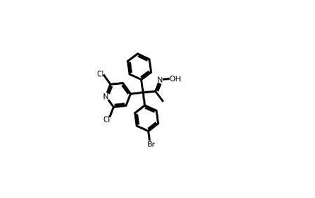 CC(=NO)C(c1ccccc1)(c1ccc(Br)cc1)c1cc(Cl)nc(Cl)c1